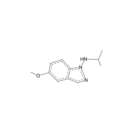 COc1ccc2c(cnn2NC(C)C)c1